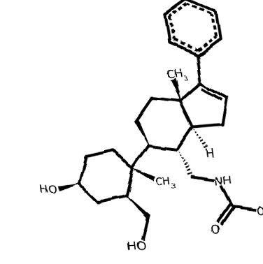 C[C@]1([C@H]2CC[C@]3(C)C(c4ccccc4)=CC[C@H]3[C@@H]2CNC(=O)O)CC[C@H](O)C[C@@H]1CO